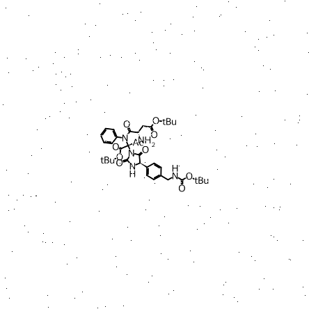 CC(=O)[C@](C(=O)OC(C)(C)C)(N1C(=O)N[C@H](c2ccc(CNC(=O)OC(C)(C)C)cc2)C1=O)N(C(=O)[C@@H](N)CC(=O)OC(C)(C)C)c1ccccc1